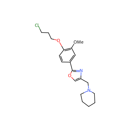 COc1cc(-c2nc(CN3CCCCC3)co2)ccc1OCCCCl